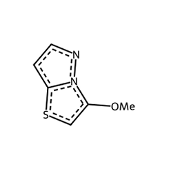 COc1csc2ccnn12